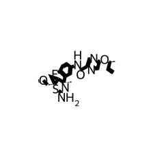 C=C[C@@H](C)Oc1cnc(C(=O)Nc2ccc(F)c([C@@]3(C)N=C(N)S[C@@]4(COC)CC43)c2)cn1